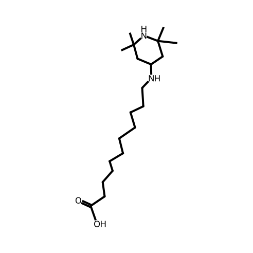 CC1(C)CC(NCCCCCCCCCCC(=O)O)CC(C)(C)N1